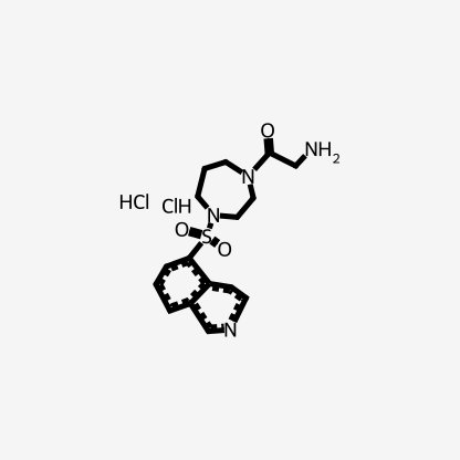 Cl.Cl.NCC(=O)N1CCCN(S(=O)(=O)c2cccc3cnccc23)CC1